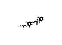 COC(=O)COc1c(F)cc(SCCNS(=O)(=O)c2ccccc2[N+](=O)[O-])cc1F